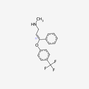 CNC/C=C(/Oc1ccc(C(F)(F)F)cc1)c1ccccc1